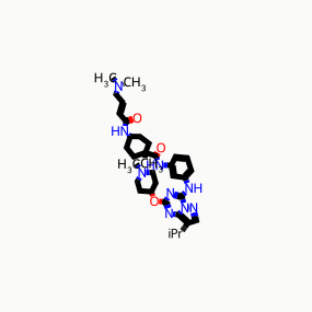 CC(C)c1cnn2c(Nc3cccc(NC(=O)C4(C)CCC(NC(=O)/C=C/CN(C)C)CC4)c3)nc(OC3CCN(C)CC3)nc12